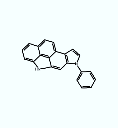 c1ccc(-n2ccc3c4ccc5cccc6[nH]c(cc32)c4c56)cc1